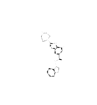 Cc1cc(C(=O)N[C@H]2CCc3ccccc32)cc2sc(N3CCN(C(=O)O)CC3)nc12